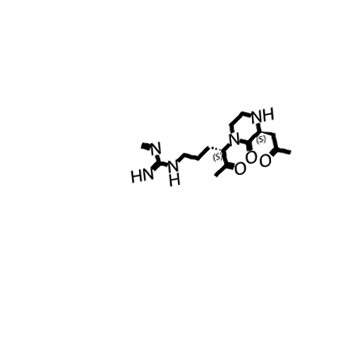 C=NC(=N)NCCC[C@@H](C(C)=O)N1CCN[C@@H](CC(C)=O)C1=O